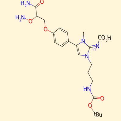 Cn1c(-c2ccc(OCC(ON)C(N)=O)cc2)cn(CCCNC(=O)OC(C)(C)C)/c1=N/C(=O)O